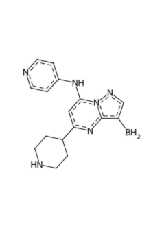 Bc1cnn2c(Nc3ccncc3)cc(C3CCNCC3)nc12